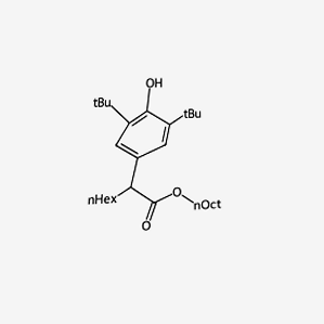 CCCCCCCCOC(=O)C(CCCCCC)c1cc(C(C)(C)C)c(O)c(C(C)(C)C)c1